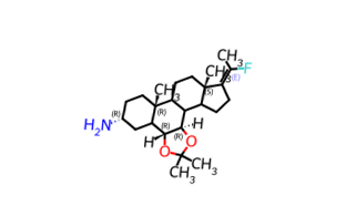 C/C(F)=C1/CCC2C3C(CC[C@]12C)[C@@]1(C)CC[C@@H](N)CC1[C@H]1OC(C)(C)O[C@H]31